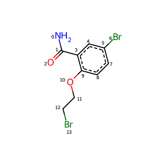 NC(=O)c1cc(Br)ccc1OCCBr